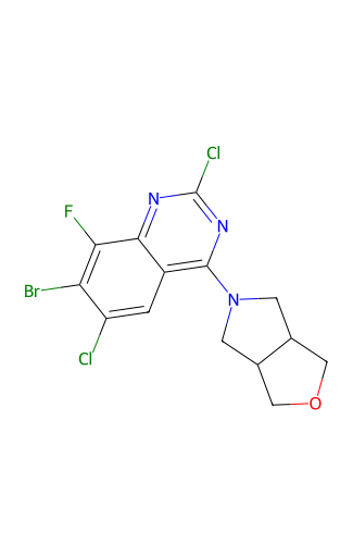 Fc1c(Br)c(Cl)cc2c(N3CC4COCC4C3)nc(Cl)nc12